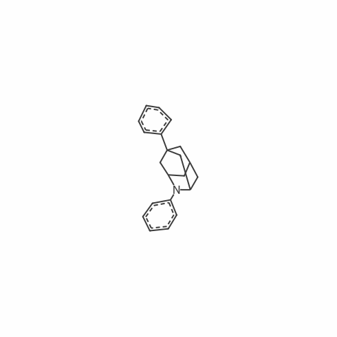 c1ccc(N2C3CC4CC2CC(c2ccccc2)(C4)C3)cc1